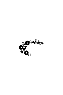 CCOC(=O)CNCCCOc1ccc(C(=O)N2c3ccccc3[C@H](N(C(C)=O)c3ccc(Cl)cc3)C[C@@H]2C)cc1